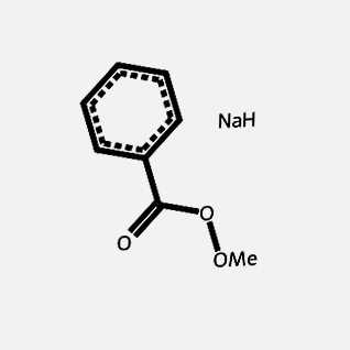 COOC(=O)c1ccccc1.[NaH]